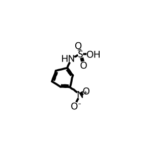 O=[N+]([O-])c1cccc(NS(=O)(=O)O)c1